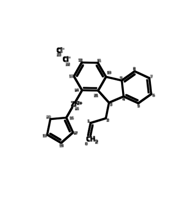 C=CCC1c2ccccc2-c2ccc[c]([Zr+2][C]3=CC=CC3)c21.[Cl-].[Cl-]